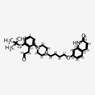 CC(C)(C)Sc1cccc(N2CCN(CCCCOc3ccc4ccc(=O)[nH]c4c3)CC2)c1CC=O